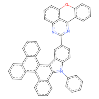 c1ccc(-n2c3ccc(-c4nc5c6c(cccc6n4)Oc4ccccc4-5)cc3c3c4c5ccccc5c5ccccc5c4c4ccccc4c32)cc1